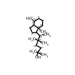 C[C@H](C1CCC2[C@@H](O)CCC[C@]12C)C(C)(C)CCC(C)(C)O